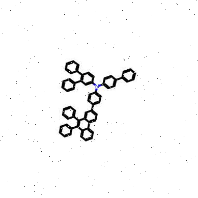 c1ccc(-c2ccc(N(c3ccc(-c4ccc5c(c4)c(-c4ccccc4)c(-c4ccccc4)c4ccccc45)cc3)c3ccc(-c4ccccc4)c(-c4ccccc4)c3)cc2)cc1